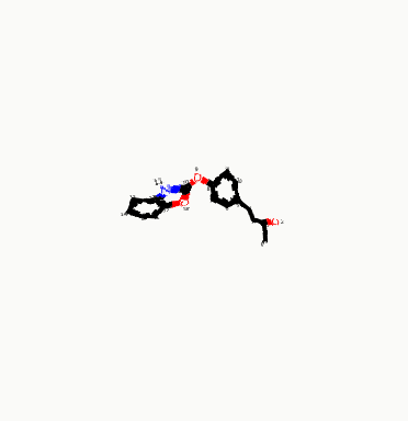 CC(=O)CCc1ccc(Oc2nc3ccccc3o2)cc1